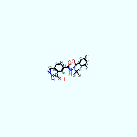 Cc1cc(C)cc(C(=O)N(NC(=O)c2ccc3c(c2)B(O)NN=C3)C(C)(C)C)c1